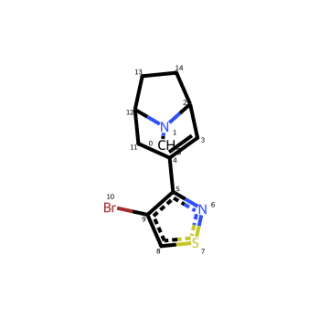 CN1C2C=C(c3nscc3Br)CC1CC2